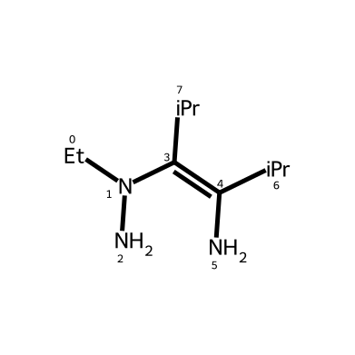 CCN(N)/C(=C(\N)C(C)C)C(C)C